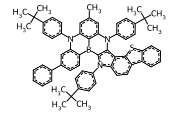 Cc1cc2c3c(c1)N(c1ccc(C(C)(C)C)cc1)c1c(n(-c4ccc(C(C)(C)C)cc4)c4ccc5c6ccccc6sc5c14)B3c1ccc(-c3ccccc3)cc1N2c1ccc(C(C)(C)C)cc1